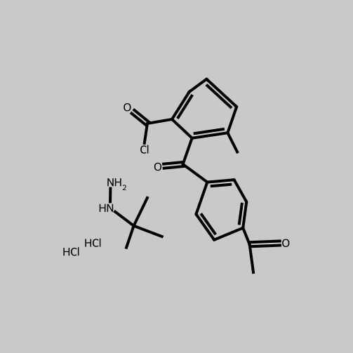 CC(=O)c1ccc(C(=O)c2c(C)cccc2C(=O)Cl)cc1.CC(C)(C)NN.Cl.Cl